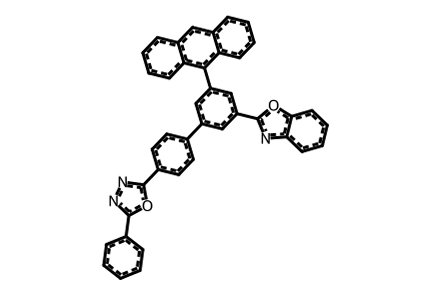 c1ccc(-c2nnc(-c3ccc(-c4cc(-c5nc6ccccc6o5)cc(-c5c6ccccc6cc6ccccc56)c4)cc3)o2)cc1